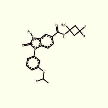 CC(C)n1c(=O)n(-c2cccc(OC(F)F)c2)c2ccc(C(=O)NC3(C)CC(F)(F)C3)cc21